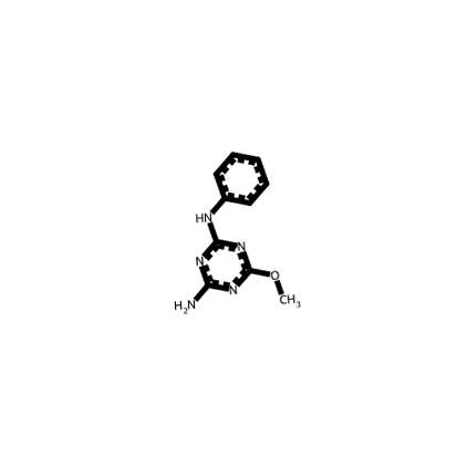 COc1nc(N)nc(Nc2ccccc2)n1